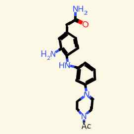 CC(=O)N1CCN(c2cccc(Nc3ccc(CC(N)=O)cc3N)c2)CC1